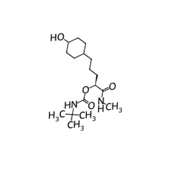 CNC(=O)[C@H](CCCC1CCC(O)CC1)OC(=O)NC(C)(C)C